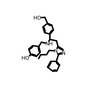 CCCCn1c(CC(NCc2ccc(O)cc2)c2ccc(CO)cc2)cnc1-c1ccccc1